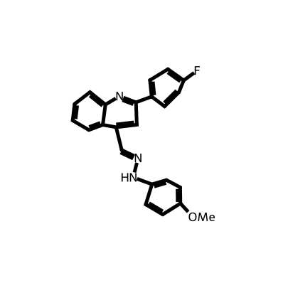 COc1ccc(NN=Cc2cc(-c3ccc(F)cc3)nc3ccccc23)cc1